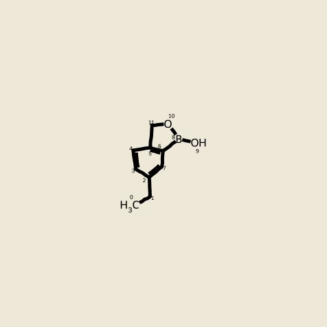 CCc1ccc2c(c1)B(O)OC2